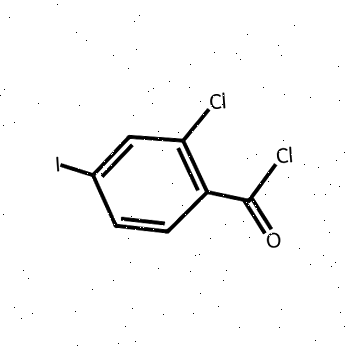 O=C(Cl)c1ccc(I)cc1Cl